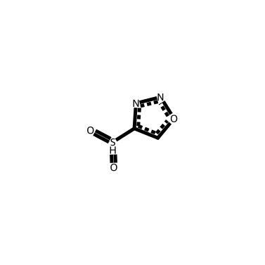 O=[SH](=O)c1conn1